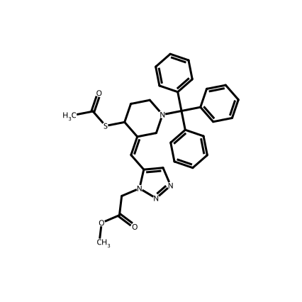 COC(=O)Cn1nncc1/C=C1\CN(C(c2ccccc2)(c2ccccc2)c2ccccc2)CCC1SC(C)=O